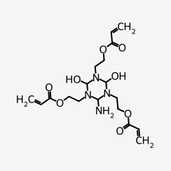 C=CC(=O)OCCN1C(N)N(CCOC(=O)C=C)C(O)N(CCOC(=O)C=C)C1O